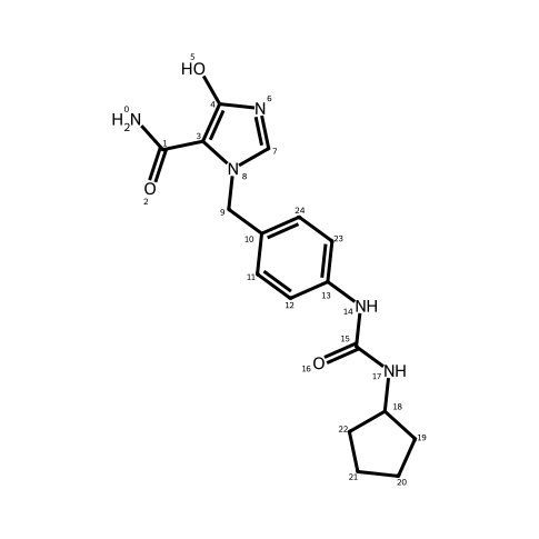 NC(=O)c1c(O)ncn1Cc1ccc(NC(=O)NC2CCCC2)cc1